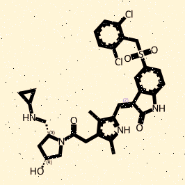 Cc1[nH]c(/C=C2\C(=O)Nc3ccc(S(=O)(=O)Cc4c(Cl)cccc4Cl)cc32)c(C)c1CC(=O)N1C[C@H](O)C[C@@H]1CNC1CC1